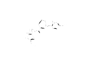 CC(C)(C)c1cc(NC(=O)C2=CN(c3ccc(C(F)(F)F)cn3)CC=C2)no1